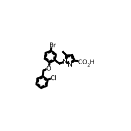 Cc1cc(C(=O)O)nn1Cc1cc(Br)ccc1OCc1ccccc1Cl